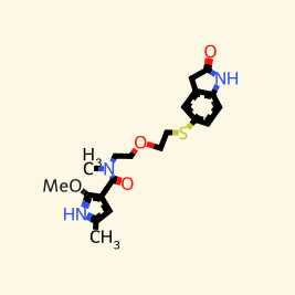 COc1[nH]c(C)cc1C(=O)N(C)CCOCCSc1ccc2c(c1)CC(=O)N2